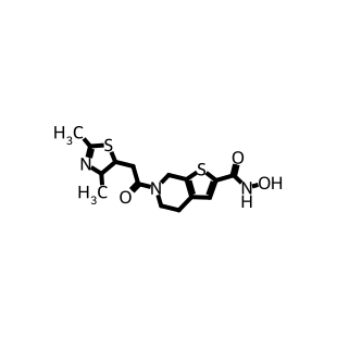 CC1=NC(C)C(CC(=O)N2CCc3cc(C(=O)NO)sc3C2)S1